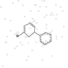 BrC1=CC=CC(c2ccccc2)C1